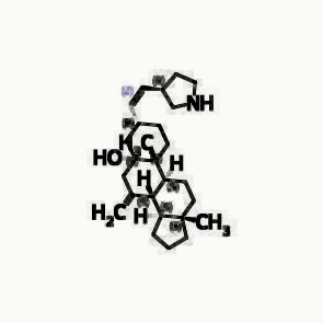 C=C1C[C@@]2(O)C[C@H](/C=C\[C@H]3CCNC3)CC[C@]2(C)[C@H]2CC[C@]3(C)CCC[C@H]3[C@H]12